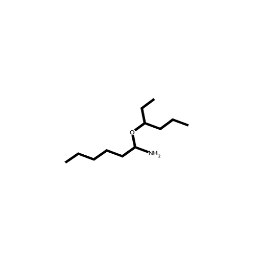 CCCCCC(N)OC(CC)CCC